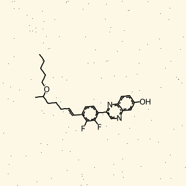 CCCCCOC(C)CCCC=Cc1ccc(-c2cnc3cc(O)ccc3n2)c(F)c1F